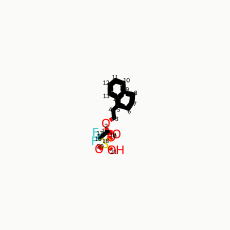 O=C(OCCc1cccc2ccccc12)C(F)(F)S(=O)(=O)O